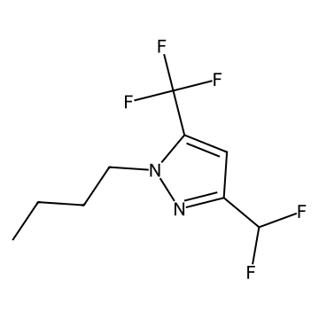 CCCCn1nc(C(F)F)cc1C(F)(F)F